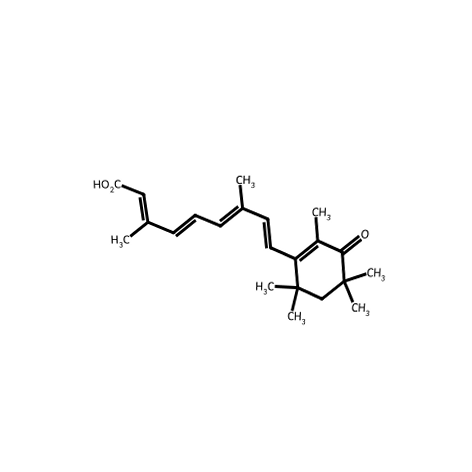 CC(C=CC1=C(C)C(=O)C(C)(C)CC1(C)C)=CC=CC(C)=CC(=O)O